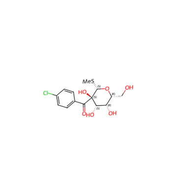 CS[C@@H]1O[C@H](CO)[C@H](O)[C@H](O)[C@]1(O)C(=O)c1ccc(Cl)cc1